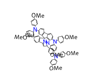 COc1ccc(N(c2ccc(OC)cc2)c2ccc(-c3cc4n(n3)C3(c5cc(N(c6ccc(OC)cc6)c6ccc(OC)cc6)ccc5-c5ccc(N(c6ccc(OC)cc6)c6ccc(OC)cc6)cc53)c3cc(C(C)(C)C)ccc3-4)cc2)cc1